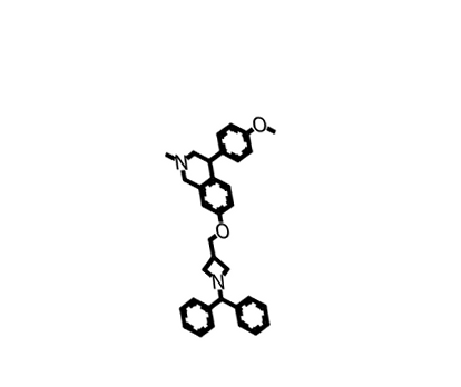 COc1ccc(C2CN(C)Cc3cc(OCC4CN(C(c5ccccc5)c5ccccc5)C4)ccc32)cc1